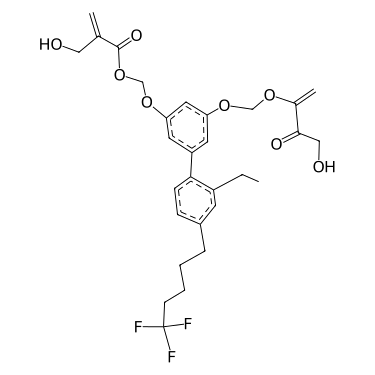 C=C(CO)C(=O)OCOc1cc(OCOC(=C)C(=O)CO)cc(-c2ccc(CCCCC(F)(F)F)cc2CC)c1